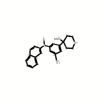 COC1(c2cc([S+]([O-])c3ccc4ccccc4c3)cc(C(F)(F)F)c2)CCOCC1